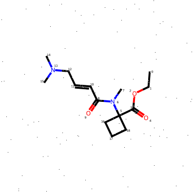 CCOC(=O)C1(N(C)C(=O)/C=C/CN(C)C)CCC1